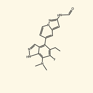 CCc1c(F)c(N(C)C)c2[nH]ncc2c1-c1ccn2nc(NC=O)cc2c1